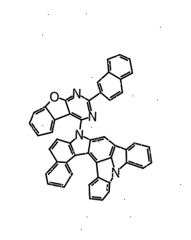 c1ccc2cc(-c3nc(-n4c5ccc6ccccc6c5c5c6c7ccccc7n7c8ccccc8c(cc54)c67)c4c(n3)oc3ccccc34)ccc2c1